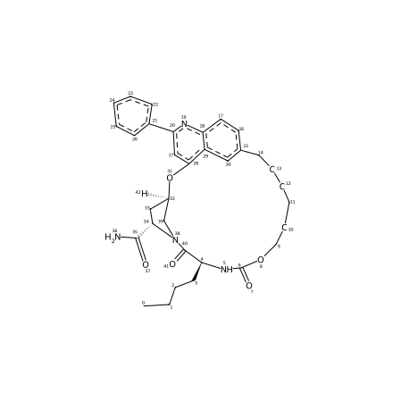 CCCC[C@@H]1NC(=O)OCCCCCCc2ccc3nc(-c4ccccc4)cc(c3c2)O[C@@H]2C[C@@H](C(N)=O)N(C2)C1=O